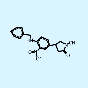 CN1CC(c2ccc(NCc3ccccc3)c([N+](=O)[O-])c2)CC1=O